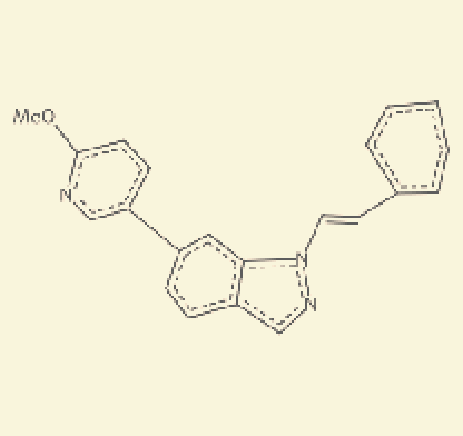 COc1ccc(-c2ccc3cnn(C=Cc4ccccc4)c3c2)cn1